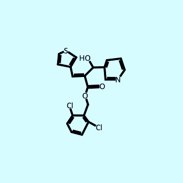 O=C(OCc1c(Cl)cccc1Cl)C(=Cc1ccsc1)C(O)c1cccnc1